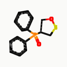 O=P(c1ccccc1)(c1ccccc1)C1COSC1